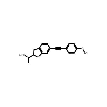 CCCOc1ccc(C#Cc2ccc3c(c2)O[C@@H]([C@@H](C)NC(C)=O)C3)cc1